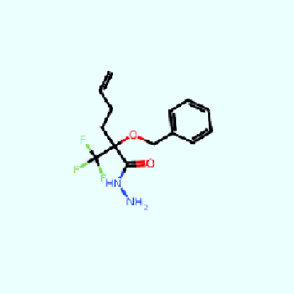 C=CCCC(OCc1ccccc1)(C(=O)NN)C(F)(F)F